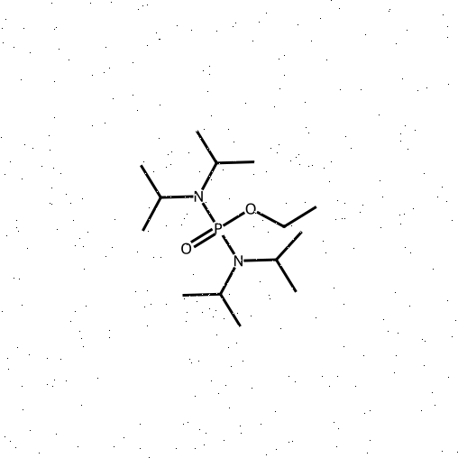 CCOP(=O)(N(C(C)C)C(C)C)N(C(C)C)C(C)C